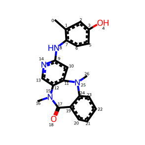 Cc1cc(O)ccc1Nc1cc2c(cn1)N(C)C(=O)c1ccccc1N2C